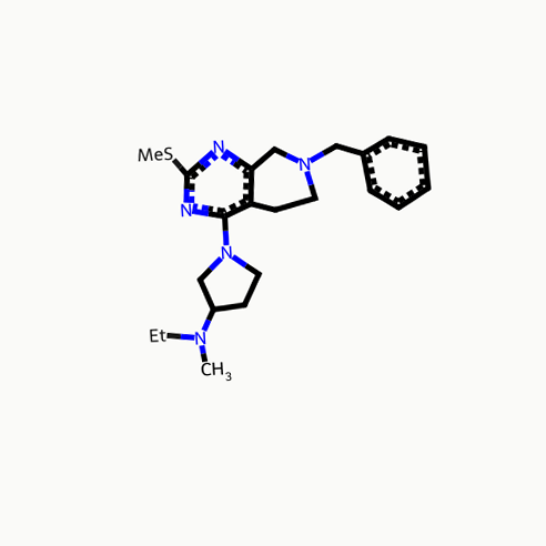 CCN(C)C1CCN(c2nc(SC)nc3c2CCN(Cc2ccccc2)C3)C1